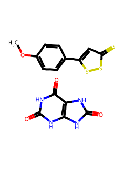 COc1ccc(-c2cc(=S)ss2)cc1.O=c1[nH]c(=O)c2[nH]c(=O)[nH]c2[nH]1